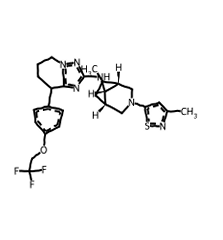 Cc1cc(N2C[C@@H]3CC(C)[C@H](C2)[C@H]3Nc2nc3n(n2)CCCC3c2ccc(OCC(F)(F)F)cc2)sn1